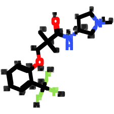 CN1CC[C@@H](NC(=O)C(C)(C)COc2ccccc2C(F)(F)F)C1